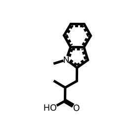 CC(Cc1cc2ccccc2n1C)C(=O)O